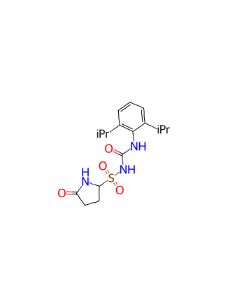 CC(C)c1cccc(C(C)C)c1NC(=O)NS(=O)(=O)C1CCC(=O)N1